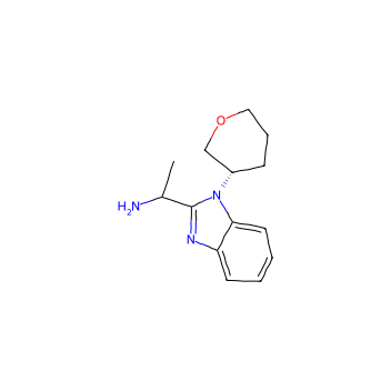 CC(N)c1nc2ccccc2n1[C@H]1CCCOC1